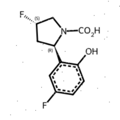 O=C(O)N1C[C@@H](F)C[C@@H]1c1cc(F)ccc1O